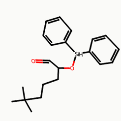 CC(C)(C)CCCC(C=O)O[SiH](c1ccccc1)c1ccccc1